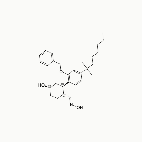 CCCCCCC(C)(C)c1ccc([C@@H]2C[C@H](O)CC[C@H]2C=NO)c(OCc2ccccc2)c1